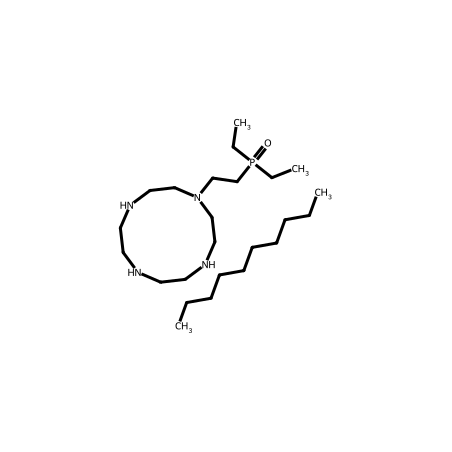 CCCCCCCCCC.CCP(=O)(CC)CCN1CCNCCNCCNCC1